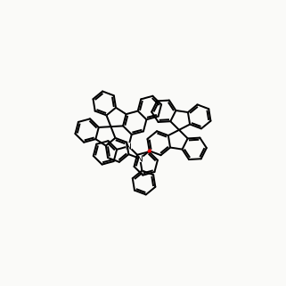 c1ccc(N(c2ccc3c(c2)-c2ccccc2C32c3ccccc3-c3ccccc32)c2ccc3c(c2)C2(c4ccccc4-3)c3ccccc3-c3c2c(N(c2ccccc2)c2ccccc2)cc2ccccc32)cc1